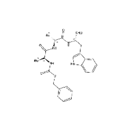 CC[C@H](C)[C@H](NC(=O)OCc1ccccc1)C(=O)N[C@H](C(=O)N[C@H](C=O)Cc1c[nH]c2ccccc12)[C@@H](C)CC